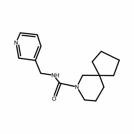 O=C(NCc1cccnc1)N1CCCC2(CCCC2)C1